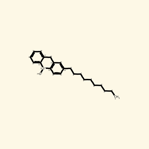 CCCCCCCCCCc1ccc2c(c1)Cc1ccccc1[S+]2[O-]